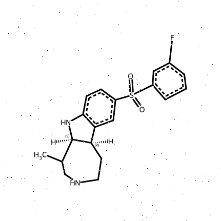 CC1CNCC[C@@H]2c3cc(S(=O)(=O)c4cccc(F)c4)ccc3N[C@H]12